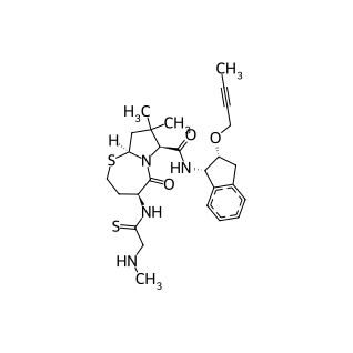 CC#CCO[C@@H]1Cc2ccccc2[C@@H]1NC(=O)[C@H]1N2C(=O)[C@@H](NC(=S)CNC)CCS[C@H]2CC1(C)C